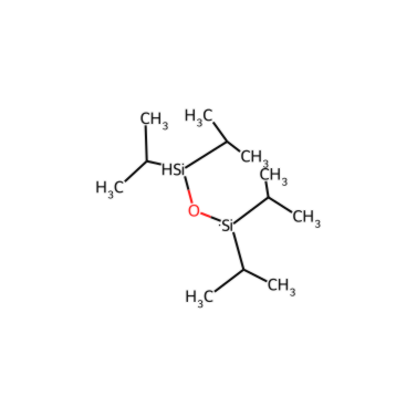 CC(C)[Si](O[SiH](C(C)C)C(C)C)C(C)C